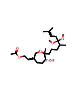 COC(CC=C(C)C)(OC)C(C)CCCC1(C)OCC(=CCOC(C)=O)CC[C@H]1O